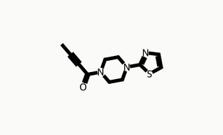 CC#CC(=O)N1CCN(c2nccs2)CC1